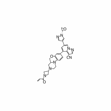 C=CC(=O)N1CC(N2CCN3c4ccc(-c5cc(-c6cnn([C@@H]7CO7)c6)cn6ncc(C#N)c56)cc4OCC3C2)C1